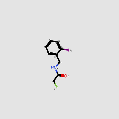 O=C(CF)NCc1ccccc1I